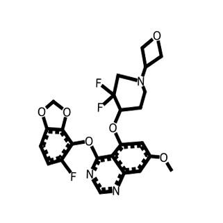 COc1cc(OC2CCN(C3COC3)CC2(F)F)c2c(Oc3c(F)ccc4c3OCO4)ncnc2c1